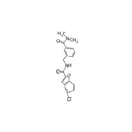 CN(C)C(=O)c1cccc(CNC(=O)c2cc3cc(Cl)ccc3o2)c1